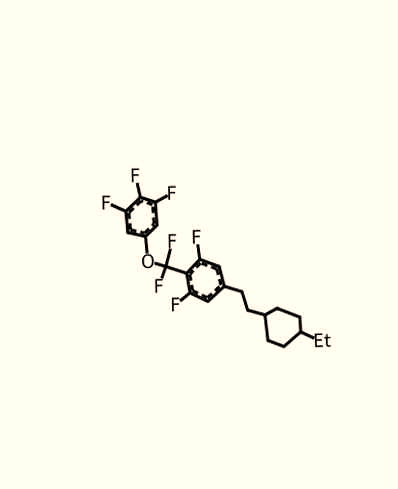 CCC1CCC(CCc2cc(F)c(C(F)(F)Oc3cc(F)c(F)c(F)c3)c(F)c2)CC1